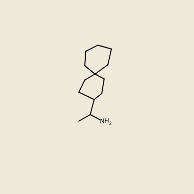 CC(N)C1CCC2(CCCCC2)CC1